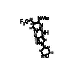 CNc1nc(Nc2cn(C3CCOCC3)nc2C)ncc1CC(F)(F)F